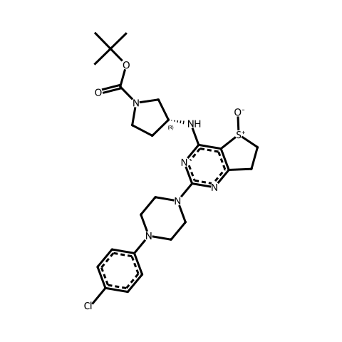 CC(C)(C)OC(=O)N1CC[C@@H](Nc2nc(N3CCN(c4ccc(Cl)cc4)CC3)nc3c2[S+]([O-])CC3)C1